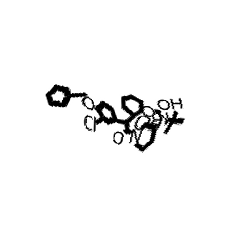 CC(C)(C)N(C(=O)O)[C@H]1CCCN(C(=O)C(c2ccc(OCc3ccccc3)c(Cl)c2)C2(O)CCCCC2)C1